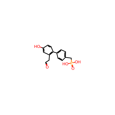 O=CCc1cc(O)ccc1-c1ccc(CP(=O)(O)O)cc1